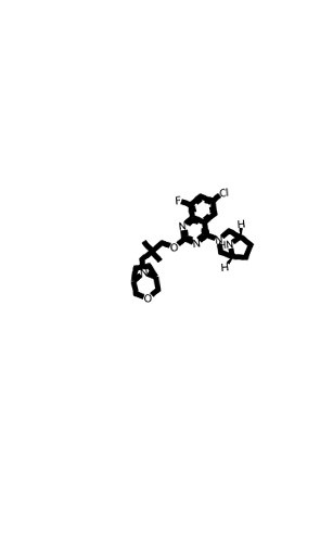 CC(C)(COc1nc(N2C[C@H]3CC[C@@H](C2)N3)c2cc(Cl)cc(F)c2n1)CN1C2CCC1COC2